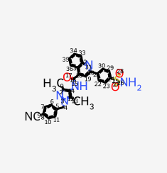 Cc1nn(Cc2ccc(C#N)cc2)c(C)c1NC(=O)c1cc(-c2ccc(S(N)(=O)=O)cc2)nc2ccccc12